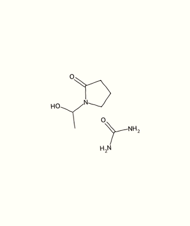 CC(O)N1CCCC1=O.NC(N)=O